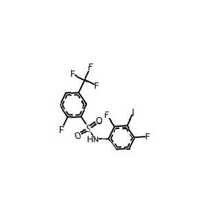 O=S(=O)(Nc1ccc(F)c(I)c1F)c1cc(C(F)(F)F)ccc1F